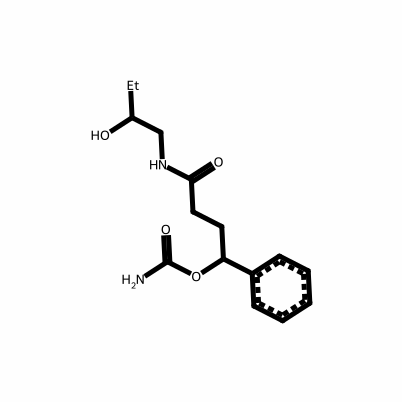 CCC(O)CNC(=O)CCC(OC(N)=O)c1ccccc1